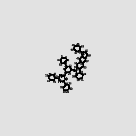 c1ccc(-c2cc(-c3nc(-c4ccccc4)nc(-c4ccccc4)n3)cc(-n3c4ccccc4c4cc5cc6ccn(-c7ccccc7)c6cc5cc43)c2)cc1